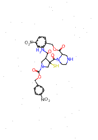 NC(=O)C1CN(C(=O)OCc2ccc([N+](=O)[O-])cc2)CC1(S)C(=O)N1CCNCC1C(=O)OCc1ccc([N+](=O)[O-])cc1